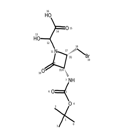 CC(C)(C)OC(=O)N[C@@H]1C(=O)N(C(O)C(=O)O)[C@@H]1CBr